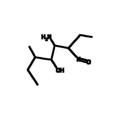 CCC(C)C(O)C(N)C(CC)N=O